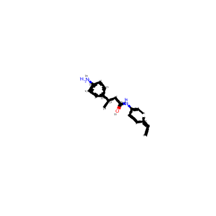 C\C=C(C)/C=C\C(=C/C)NC(=O)CC(C)c1ccc(N)cc1